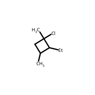 CC[C]1C(C)CC1(C)Cl